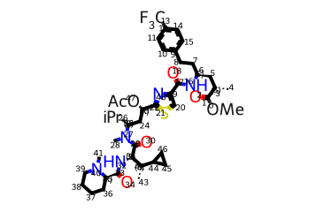 COC(=O)[C@@H](C)C[C@H](CCc1ccc(C(F)(F)F)cc1)NC(=O)c1csc([C@@H](C[C@H](C(C)C)N(C)C(=O)[C@@H](NC(=O)[C@H]2CCCCN2C)[C@@H](C)C2CC2)OC(C)=O)n1